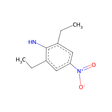 CCc1cc([N+](=O)[O-])cc(CC)c1[NH]